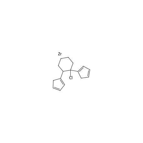 ClC1(C2=CC=CC2)CCCCC1C1=CC=CC1.[Zr]